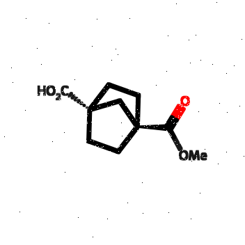 COC(=O)[C@]12CC[C@@](C(=O)O)(CC1)C2